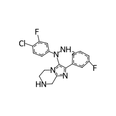 NN(c1ccc(Cl)c(F)c1)c1c(-c2cccc(F)c2)nc2n1CCNC2